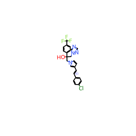 OC(Cn1ccc(/C=C/c2ccc(Cl)cc2)c1)(Cn1cncn1)c1ccc(C(F)(F)F)cc1